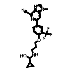 Cn1cnc2c(C#N)nc(-c3ccc(OCCCNC(O)C4CC4)c(C(F)(F)F)c3)cc21